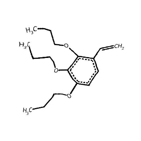 C=Cc1ccc(OCCC)c(OCCC)c1OCCC